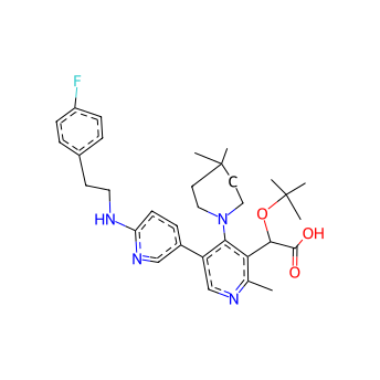 Cc1ncc(-c2ccc(NCCc3ccc(F)cc3)nc2)c(N2CCC(C)(C)CC2)c1C(OC(C)(C)C)C(=O)O